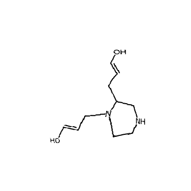 OC=CCC1CNCCN1CC=CO